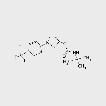 CC(C)(C)NC(=O)OC1CCN(c2ccc(C(F)(F)F)cc2)C1